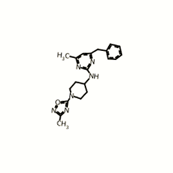 Cc1cc(Cc2ccccc2)nc(NC2CCN(c3nc(C)no3)CC2)n1